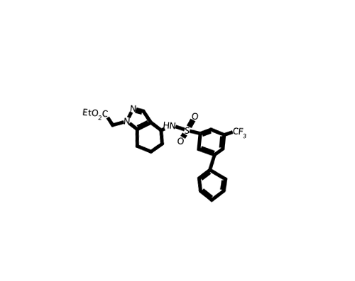 CCOC(=O)Cn1ncc2c1CCCC2NS(=O)(=O)c1cc(-c2ccccc2)cc(C(F)(F)F)c1